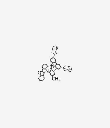 Cc1cc2c3c(c1)-n1c4c(cccc4c4oc5ccccc5c41)B3n1c3ccc(C45CC6CC(CC(C6)C4)C5)cc3c3cc(C45CC6CC(CC(C6)C4)C5)cc-2c31